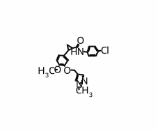 COc1ccc(C2CC2C(=O)Nc2ccc(Cl)cc2)cc1OCc1cnn(C)c1